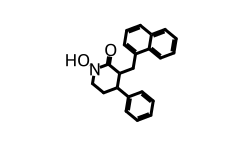 O=C1C(Cc2cccc3ccccc23)C(c2ccccc2)CCN1O